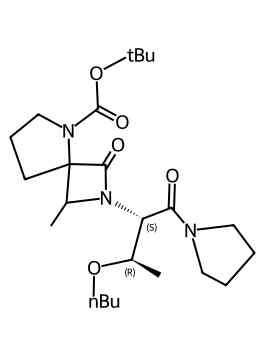 CCCCO[C@H](C)[C@@H](C(=O)N1CCCC1)N1C(=O)C2(CCCN2C(=O)OC(C)(C)C)C1C